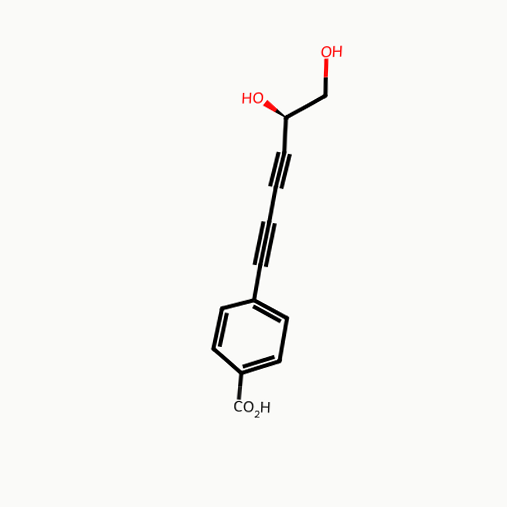 O=C(O)c1ccc(C#CC#C[C@@H](O)CO)cc1